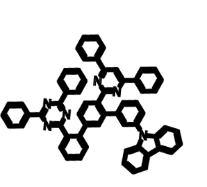 c1ccc(-c2cc(-c3ccccc3)nc(-c3ccc(-c4ccccc4-c4nc(-c5ccccc5)nc(-c5ccccc5)n4)cc3-c3cccc(-n4c5ccccc5c5ccccc54)c3)n2)cc1